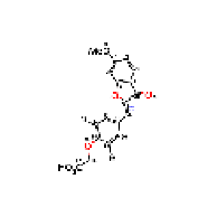 COc1ccc2c(c1)O/C(=C\c1cc(C)c(OCC(=O)O)c(C)c1)C2=O